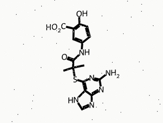 CC(C)(Sc1nc(N)nc2nc[nH]c12)C(=O)Nc1ccc(O)c(C(=O)O)c1